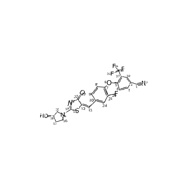 N#Cc1ccc(Oc2ccc(/C=C3/SC(N4CCC(O)C4)=NC3=O)cc2F)c(C(F)(F)F)c1